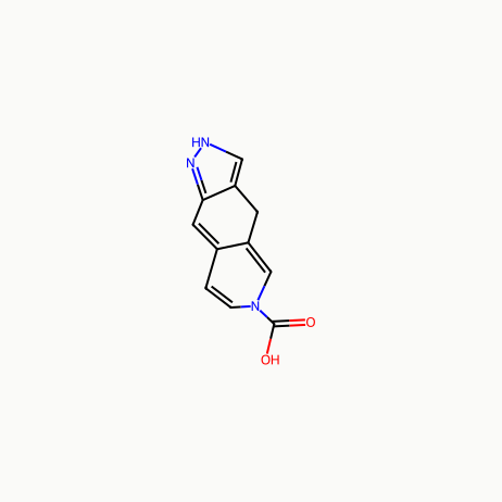 O=C(O)N1C=CC2=Cc3n[nH]cc3CC2=C1